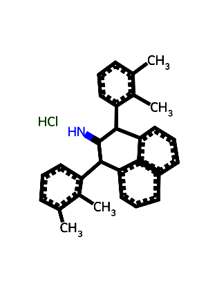 Cc1cccc(C(C(=N)C(c2ccccc2)c2cccc(C)c2C)c2ccccc2)c1C.Cl